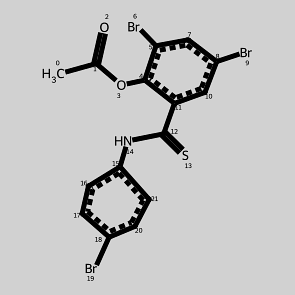 CC(=O)Oc1c(Br)cc(Br)cc1C(=S)Nc1ccc(Br)cc1